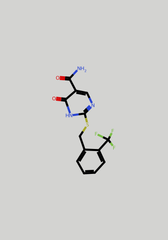 NC(=O)c1cnc(SCc2ccccc2C(F)(F)F)[nH]c1=O